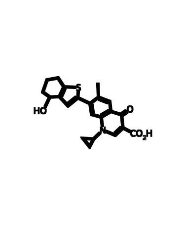 Cc1cc2c(=O)c(C(=O)O)cn(C3CC3)c2cc1-c1cc2c(s1)CCCC2O